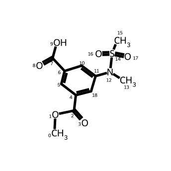 COC(=O)c1cc(C(=O)O)cc(N(C)S(C)(=O)=O)c1